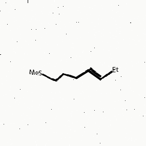 [CH2]C/C=C/CCCSC